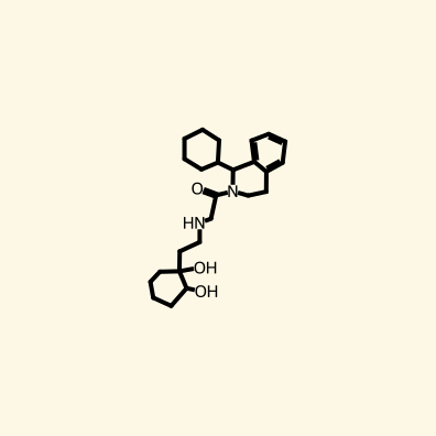 O=C(CNCCC1(O)CCCCC1O)N1CCc2ccccc2C1C1CCCCC1